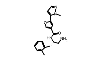 Cc1ccccc1C[C@@H](CN)NC(=O)c1coc(-c2ccnn2C)c1